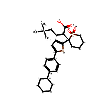 C[Si](C)(C)CCC(C(=O)O)[C@]1(c2ccc(-c3ccc(C4CCCCC4)cc3)s2)CCCCS1(=O)=O